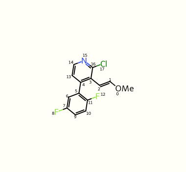 CO/C=C/c1c(-c2cc(F)ccc2F)ccnc1Cl